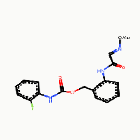 CON=CC(=O)Nc1ccccc1COC(=O)Nc1ccccc1F